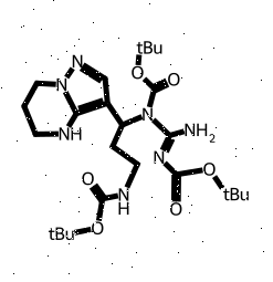 CC(C)(C)OC(=O)N=C(N)N(C(=O)OC(C)(C)C)C(CCNC(=O)OC(C)(C)C)c1cnn2c1NCCC2